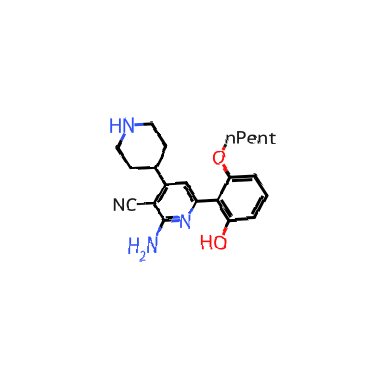 CCCCCOc1cccc(O)c1-c1cc(C2CCNCC2)c(C#N)c(N)n1